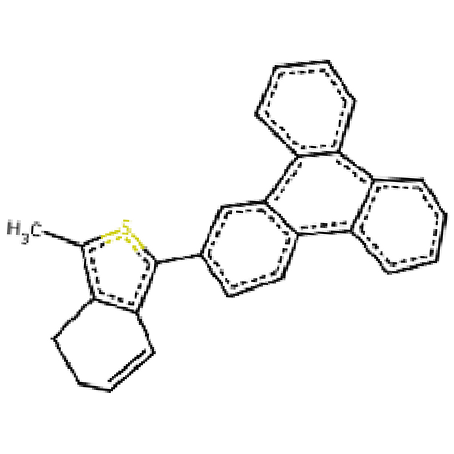 Cc1sc(-c2ccc3c4ccccc4c4ccccc4c3c2)c2c1CCC=C2